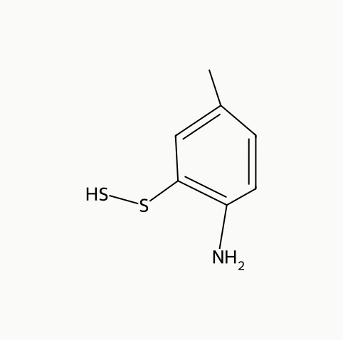 Cc1ccc(N)c(SS)c1